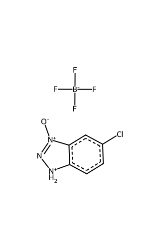 F[B-](F)(F)F.[O-][N+]1=N[NH2+]c2ccc(Cl)cc21